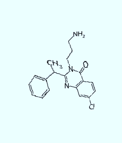 CC(c1ccccc1)c1nc2cc(Cl)ccc2c(=O)n1CCCN